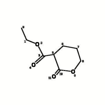 CCOC(=O)C1CCCOC1=O